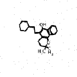 CC1(C)CCc2c(CC=C3CCCCC3)c(O)c3c(c2O1)C1CCC3CC1